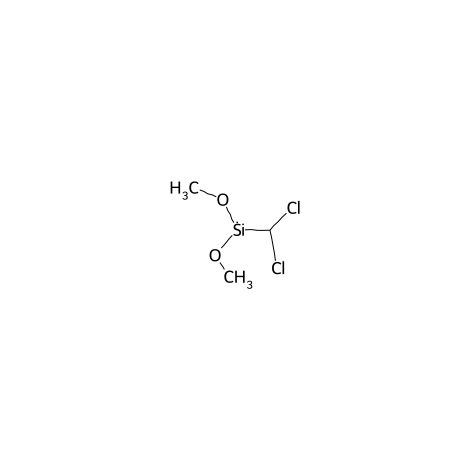 CO[Si](OC)C(Cl)Cl